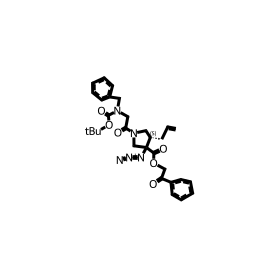 C=CC[C@H]1CN(C(=O)CN(Cc2ccccc2)C(=O)OC(C)(C)C)CC1(N=[N+]=[N-])C(=O)OCC(=O)c1ccccc1